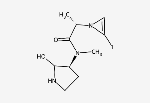 C[C@@H](C(=O)N(C)[C@H]1CCNC1O)N1C=C1I